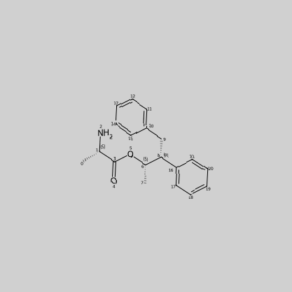 C[C@H](N)C(=O)O[C@@H](C)[C@H](Cc1ccccc1)c1ccccc1